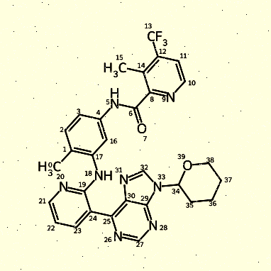 Cc1ccc(NC(=O)c2nccc(C(F)(F)F)c2C)cc1Nc1ncccc1-c1ncnc2c1ncn2C1CCCCO1